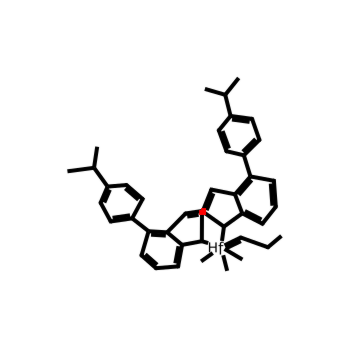 CC[CH]=[Hf]([CH3])([CH3])([CH3])([CH]1C=Cc2c(-c3ccc(C(C)C)cc3)cccc21)[CH]1C=Cc2c(-c3ccc(C(C)C)cc3)cccc21